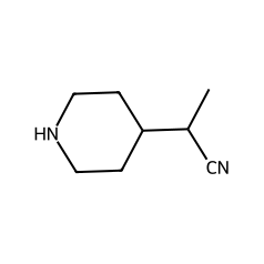 CC(C#N)C1CCNCC1